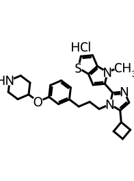 Cl.Cn1c(-c2ncc(C3CCC3)n2CCCc2cccc(OC3CCNCC3)c2)cc2sccc21